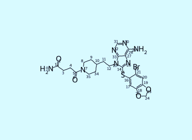 NC(=O)CCC(=O)N1CCC(CCn2c(Sc3cc4c(cc3Br)OCO4)nc3c(N)ncnc32)CC1